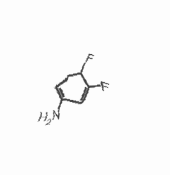 NC1=CCC(F)C(F)=C1